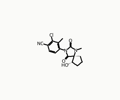 Cc1c(N2C(=O)N(C)[C@]3(CCC[C@@H]3O)C2=O)ccc(C#N)c1Cl